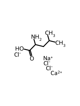 CC(C)CC(N)C(=O)O.[Ca+2].[Cl-].[Cl-].[Cl-].[Na+]